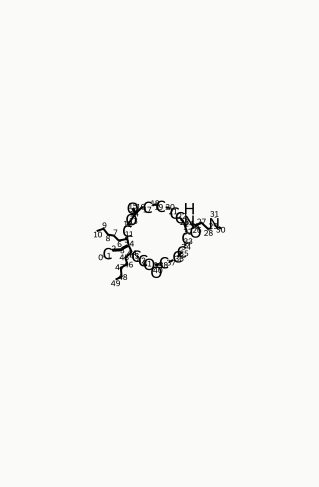 C=C=C=C=C1C(CCCCC)CCOC(=O)CCCCCCCC(NC(=O)CCN(C)C)CCCCCCCC(=O)OCCC1CCCCC